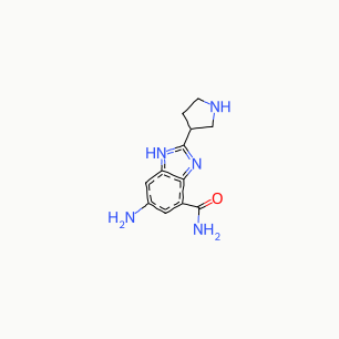 NC(=O)c1cc(N)cc2[nH]c(C3CCNC3)nc12